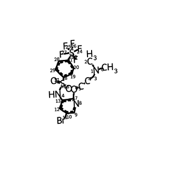 CN(C)CCCOc1ncc(Br)cc1NS(=O)(=O)c1ccc(S(F)(F)(F)(F)F)cc1